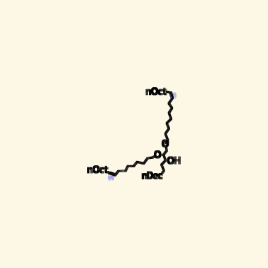 CCCCCCCC/C=C\CCCCCCCCOCC(OCCCCCCCC/C=C\CCCCCCCC)C(O)CCCCCCCCCCCC